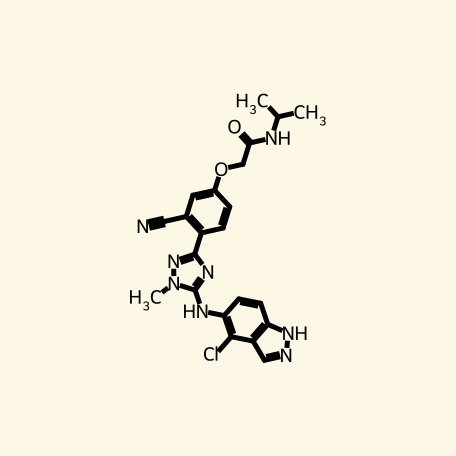 CC(C)NC(=O)COc1ccc(-c2nc(Nc3ccc4[nH]ncc4c3Cl)n(C)n2)c(C#N)c1